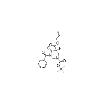 C=CCOC(=O)C1(F)CN(C(=O)OC(C)(C)C)CN(C(=O)c2ccccc2)C1=O